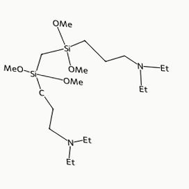 CCN(CC)CCC[Si](C[Si](CCCN(CC)CC)(OC)OC)(OC)OC